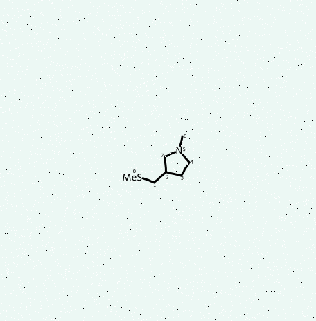 CSCC1CCN(C)C1